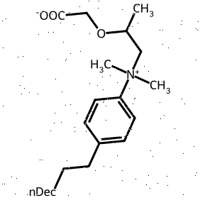 CCCCCCCCCCCCc1ccc([N+](C)(C)CC(C)OCC(=O)[O-])cc1